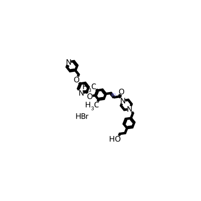 Br.Cc1cc(/C=C/C(=O)N2CCN(Cc3ccc(CCO)cc3)CC2)cc(C)c1Oc1ccc(OCc2ccncc2)cn1